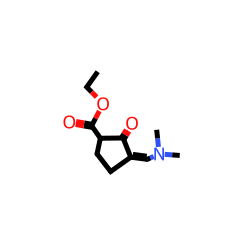 CCOC(=O)C1CC/C(=C/N(C)C)C1=O